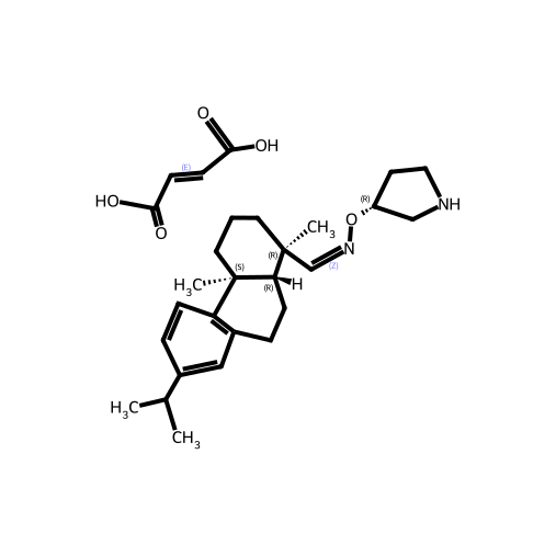 CC(C)c1ccc2c(c1)CC[C@H]1[C@](C)(/C=N\O[C@@H]3CCNC3)CCC[C@]21C.O=C(O)/C=C/C(=O)O